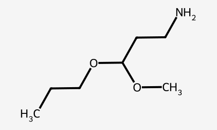 CCCOC(CCN)OC